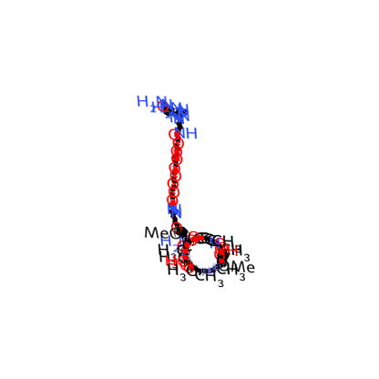 CO[C@H]1C[C@@H]2CC[C@@H](C)[C@@](O)(O2)C(=O)C(=O)N(C)CCCCCC(=O)O[C@H]([C@H](N)C[C@@H]2CC[C@@H](OCCCCc3cn(CCOCCOCCOCCOCCOCCOCCOCCOCCC(=O)NCCCCn4nc(-c5ccc6oc(N)nc6c5)c5c(N)ncnc54)nn3)[C@H](OC)C2)CC(=O)[C@H](C)/C=C(\C)[C@@H](O)[C@@H](O)C(=O)[C@H](C)C[C@H](C)/C=C/C=C/C=C/1C